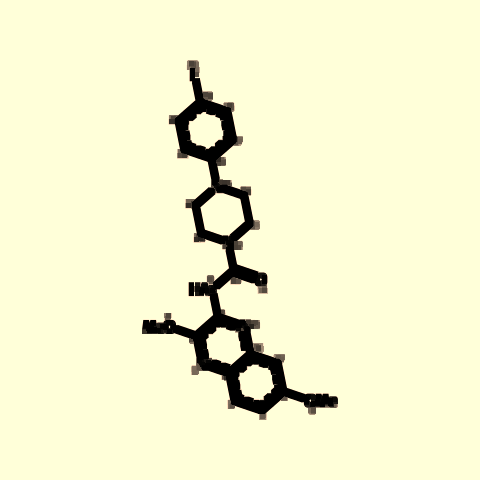 COc1ccc2nc(OC)c([AsH]C(=O)N3CCN(c4ccc(F)cc4)CC3)nc2c1